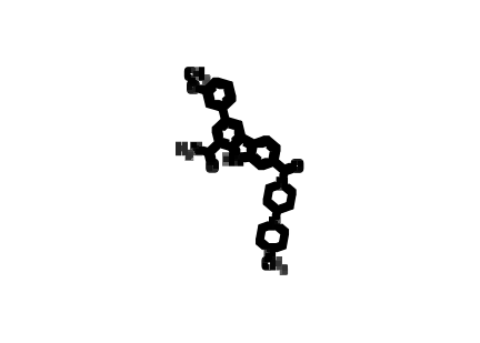 COc1cccc(-c2cc(C(N)=O)c3[nH]c4cc(C(=O)N5CCC(N6CCN(C)CC6)CC5)ccc4c3c2)c1